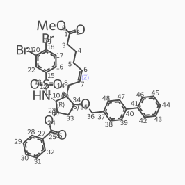 COC(=O)CCC/C=C\C[C@@H]1[C@@H](NS(=O)(=O)c2ccc(Br)c(Br)c2)[C@H](OC(=O)c2ccccc2)C[C@@H]1OCc1ccc(-c2ccccc2)cc1